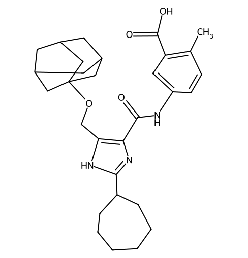 Cc1ccc(NC(=O)c2nc(C3CCCCCC3)[nH]c2COC23CC4CC(CC(C4)C2)C3)cc1C(=O)O